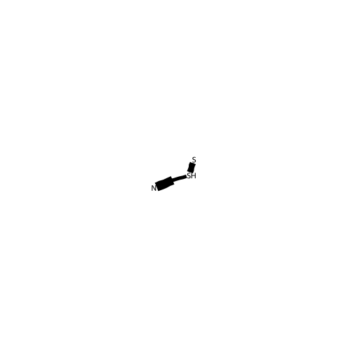 N#C[SH]=S